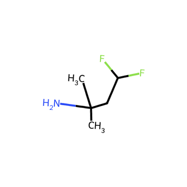 CC(C)(N)CC(F)F